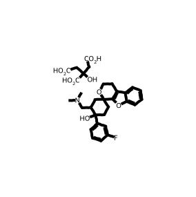 CN(C)CC1CC2(CCC1(O)c1cccc(F)c1)OCCc1c2oc2ccccc12.O=C(O)CC(O)(CC(=O)O)C(=O)O